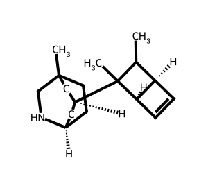 CC1[C@H]2C=C[C@H]2C1(C)[C@H]1C[C@H]2CCC(C)(CN2)C1